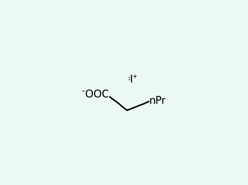 CCCCC(=O)[O-].[I+]